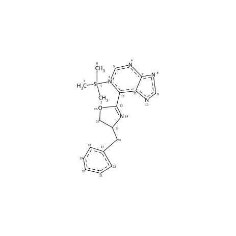 C[Si](C)(C)n1cnc2ncnc-2c1C1=NC(Cc2ccccc2)CO1